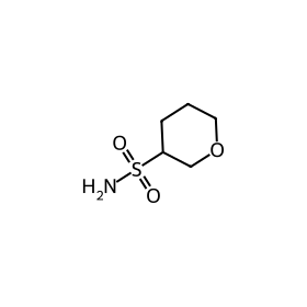 NS(=O)(=O)C1CCCOC1